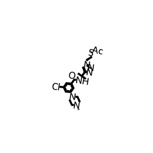 CC(=O)SCCn1cc(C(C)(C)NC(=O)c2cc(Cl)cc(N3CCN(C)CC3)c2)nn1